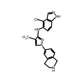 Cc1cn(-c2ccc3c(c2)CCNC3)nc1Nc1ccc2[nH]ncc2c1Cl